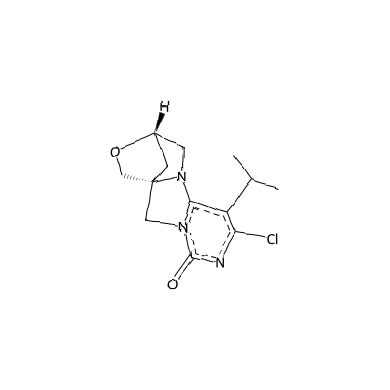 CC(C)c1c(Cl)nc(=O)n2c1N1C[C@@H]3C[C@]1(CO3)C2